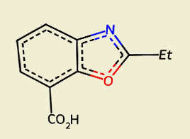 CCc1nc2cccc(C(=O)O)c2o1